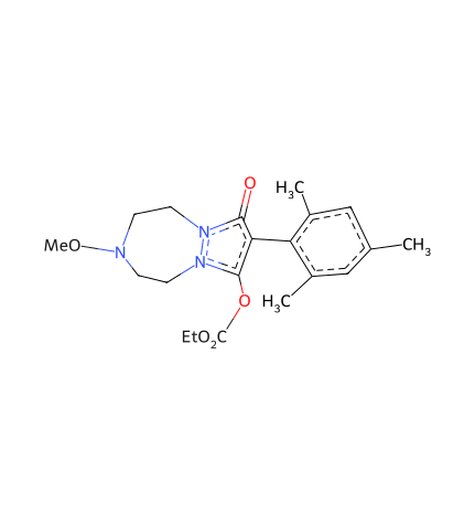 CCOC(=O)Oc1c(-c2c(C)cc(C)cc2C)c(=O)n2n1CCN(OC)CC2